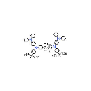 CCCCC(C)(CCCC)c1ccc(N(c2ccc(N(c3ccccc3)c3ccccc3)cc2)c2ccc(C(c3ccc(N(c4ccc(N(c5ccccc5)c5ccccc5)cc4)c4ccc(C(C)(CCC)CCC)cc4)cc3)(C(F)(F)F)C(F)(F)F)cc2)cc1